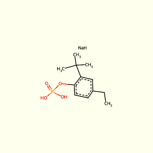 CCc1ccc(OP(=O)(O)O)c(C(C)(C)C)c1.[NaH]